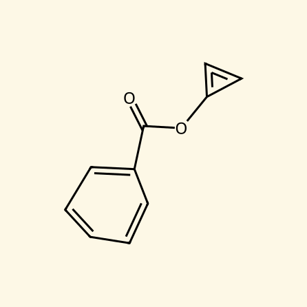 O=C(OC1=C=C1)c1ccccc1